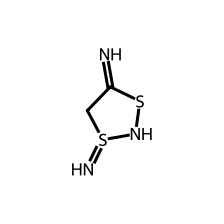 N=C1CS(=N)NS1